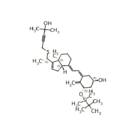 C=C1C(=CC=C2CCC[C@]3(C)C([C@H](C)SCC#CC(C)(C)O)=CC[C@@H]23)C[C@@H](O)C[C@@H]1O[Si](C)(C)C(C)(C)C